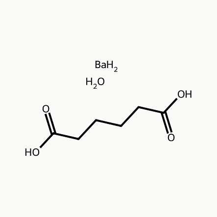 O.O=C(O)CCCCC(=O)O.[BaH2]